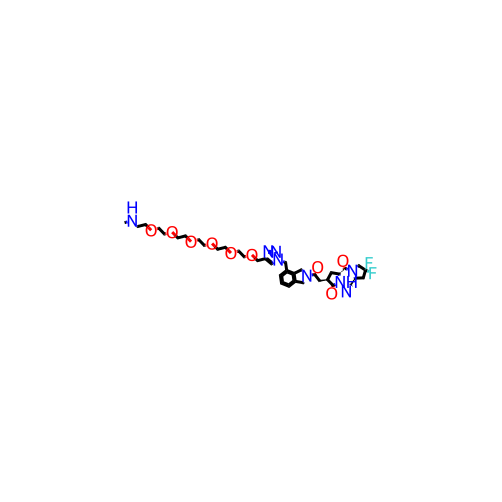 CNCCOCCOCCOCCOCCOCCOCc1cn(Cc2cccc3c2CN(C(=O)C[C@H]2C[C@H](C(=O)N4CC(F)(F)C[C@H]4C#N)NC2=O)C3)nn1